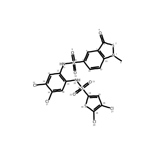 Cn1sc(=O)c2cc(S(=O)(=O)Nc3cc(Cl)c(Cl)cc3NS(=O)(=O)c3cc(Cl)c(Cl)s3)ccc21